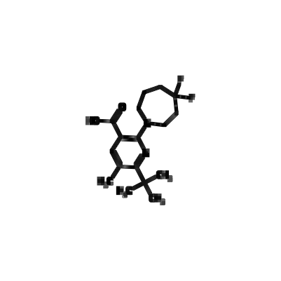 Cc1cc(C(=O)O)c(N2CCCC(F)(F)CC2)nc1C(C)(C)C